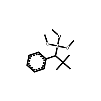 CO[Si](OC)(OC)C(c1ccccc1)C(C)(C)C